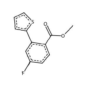 COC(=O)c1ccc(F)cc1-c1cccs1